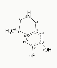 CC1CNCc2cc(O)c(F)cc21